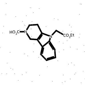 CCOC(=O)Cn1c2c(c3ccccc31)CN(C(=O)O)CC2